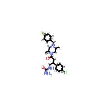 CC1CN(C(=O)CC(CNC(N)=O)c2ccc(Cl)cc2)C(C)CN1Cc1ccc(F)cc1